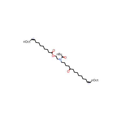 CCCCCCCC/C=C\CCCCCCCC(=O)CCCCN(CCOC(=O)CCCCCCC/C=C\CCCCCCCC)C(=O)CCCC